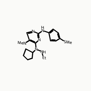 CCNN(c1nc(Nc2ccc(SC)cc2)ncc1NC)C1CCCC1